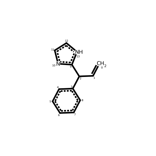 C=CC(c1ccccc1)c1ncc[nH]1